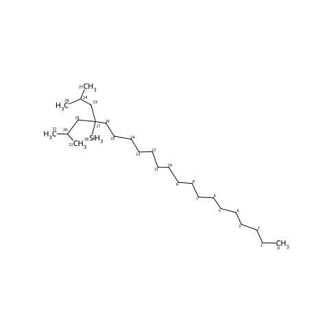 CCCCCCCCCCCCCCCCCC([SiH3])(CC(C)C)CC(C)C